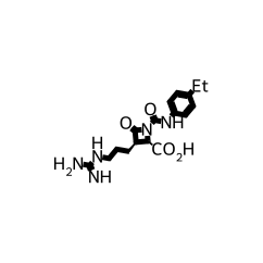 CCc1ccc(NC(=O)N2C(=O)[C@H](CCCNC(=N)N)[C@H]2C(=O)O)cc1